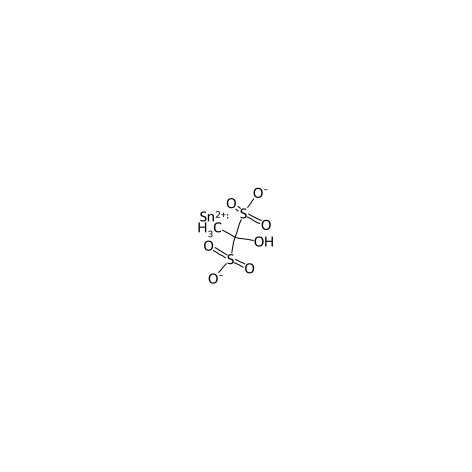 CC(O)(S(=O)(=O)[O-])S(=O)(=O)[O-].[Sn+2]